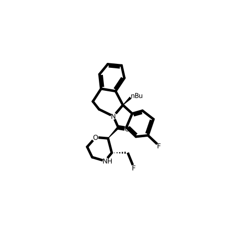 CCCC[C@]1(c2ccc(F)cc2)c2ccccc2CCN1C(=O)[C@@H]1OCCN[C@H]1CF